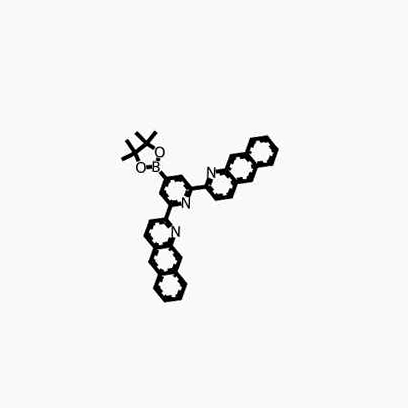 CC1(C)OB(c2cc(-c3ccc4cc5ccccc5cc4n3)nc(-c3ccc4cc5ccccc5cc4n3)c2)OC1(C)C